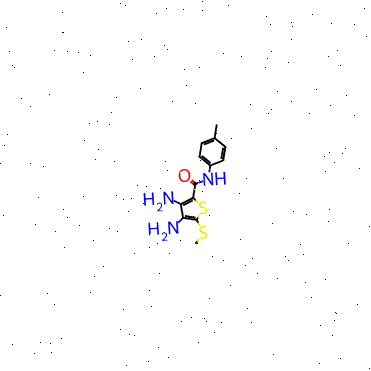 CSc1sc(C(=O)Nc2ccc(C)cc2)c(N)c1N